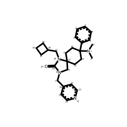 CN(C)C1(c2ccccc2)CCC2(CC1)CN(Cc1ccncc1)C(=O)N2CC1CCC1